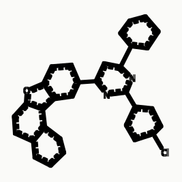 Clc1ccc(-c2nc(-c3ccccc3)cc(-c3ccc4oc5ccc6ccccc6c5c4c3)n2)cc1